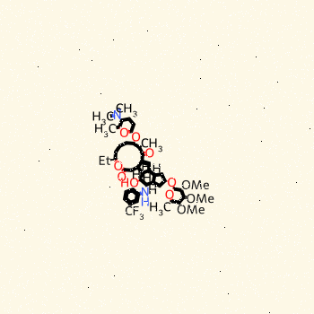 CC[C@H]1CCC[C@H](O[C@H]2CC[C@H](N(C)C)C(C)O2)[C@@H](C)C(=O)C2=C[C@H]3[C@@H]4C[C@H](O[C@@H]5OC(C)[C@H](OC)C(OC)C5OC)C[C@H]4[C@H](Nc4cccc(C(F)(F)F)c4)[C@@H](O)[C@H]3[C@@H]2CC(=O)O1